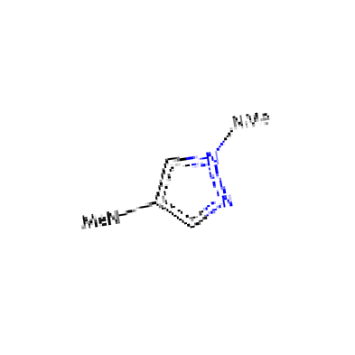 CNc1cnn(NC)c1